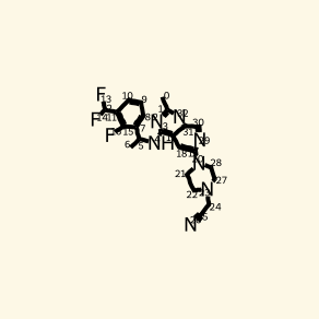 Cc1nc(NC(C)c2cccc(C(F)F)c2F)c2cc(N3CCN(CC#N)CC3)ncc2n1